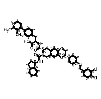 Cc1nccc(-c2ccc(CC(NC(=O)[C@@H]3Cc4cc5c(cc4CN3C(=O)NC3CCc4ccccc43)O[C@@H](c3ccc(OCc4ccc(Cl)c(Cl)c4)cc3)CO5)C(=O)O)cc2)c1C